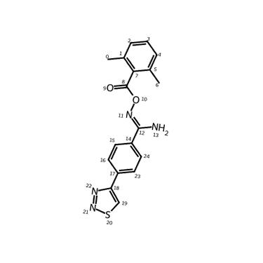 Cc1cccc(C)c1C(=O)O/N=C(\N)c1ccc(-c2csnn2)cc1